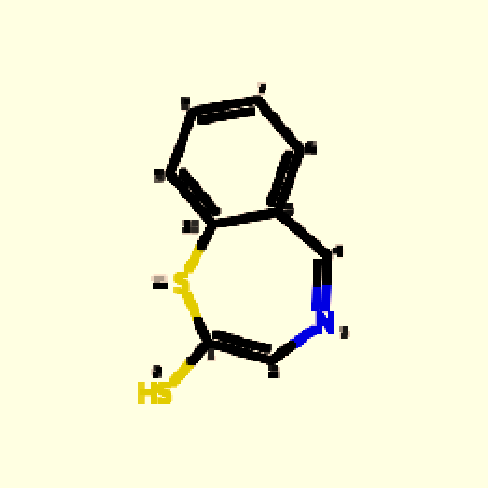 SC1=CN=Cc2ccccc2S1